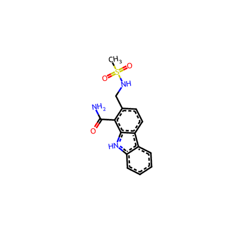 CS(=O)(=O)NCc1ccc2c([nH]c3ccccc32)c1C(N)=O